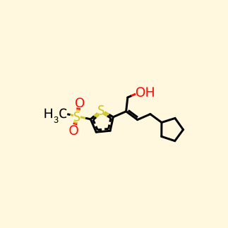 CS(=O)(=O)c1ccc(C(=CCC2CCCC2)CO)s1